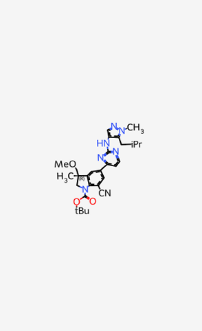 COC[C@@]1(C)CN(C(=O)OC(C)(C)C)c2c(C#N)cc(-c3ccnc(Nc4cnn(C)c4CC(C)C)n3)cc21